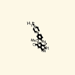 COc1cc(N2CCN(C)CC2)ccc1Nc1nc(Cl)cc2cn[nH]c(=O)c12